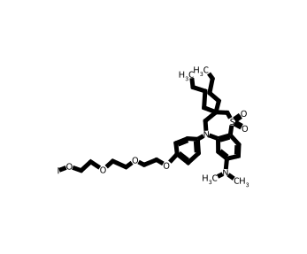 CCCCC1(CCCC)CN(c2ccc(OCCOCCOCCOI)cc2)c2cc(N(C)C)ccc2S(=O)(=O)C1